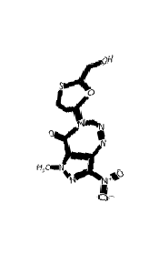 Cn1nc([N+](=O)[O-])c2nnn(C3CSC(CO)O3)c(=O)c21